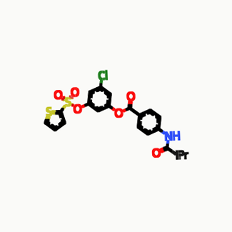 CC(C)C(=O)Nc1ccc(C(=O)Oc2cc(Cl)cc(OS(=O)(=O)c3cccs3)c2)cc1